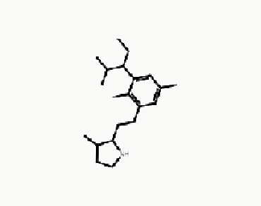 CCC(c1cc(C)cc(CCC2NCCC2C)c1C)C(C)C